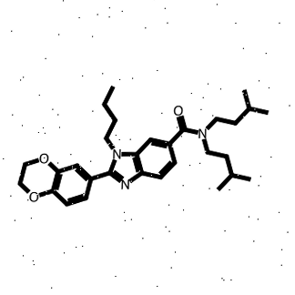 CCCCn1c(-c2ccc3c(c2)OCCO3)nc2ccc(C(=O)N(CCC(C)C)CCC(C)C)cc21